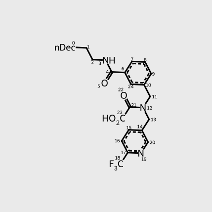 CCCCCCCCCCCCNC(=O)c1cccc(CN(Cc2ccc(C(F)(F)F)nc2)C(=O)C(=O)O)c1